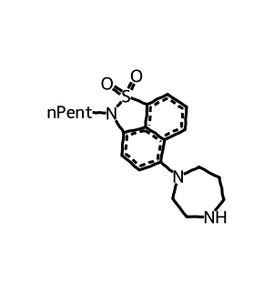 CCCCCN1c2ccc(N3CCCNCC3)c3cccc(c23)S1(=O)=O